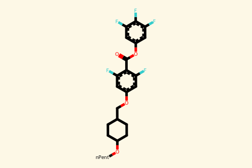 CCCCCOC1CCC(COc2cc(F)c(C(=O)Oc3cc(F)c(F)c(F)c3)c(F)c2)CC1